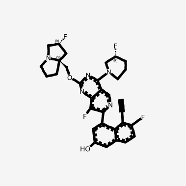 C#Cc1c(F)ccc2cc(O)cc(-c3ncc4c(N5CCC[C@@H](F)C5)nc(OC[C@@]56CCCN5C[C@H](F)C6)nc4c3F)c12